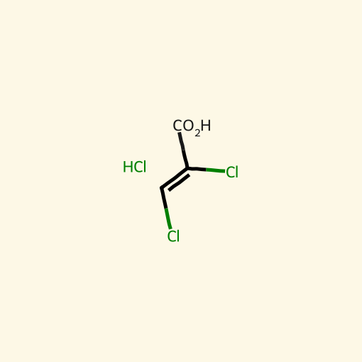 Cl.O=C(O)C(Cl)=CCl